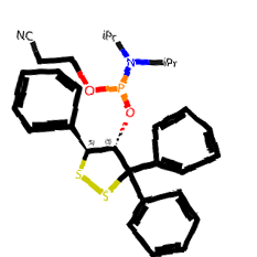 CC(C)N(C(C)C)P(OCCC#N)O[C@H]1[C@H](c2ccccc2)SSC1(c1ccccc1)c1ccccc1